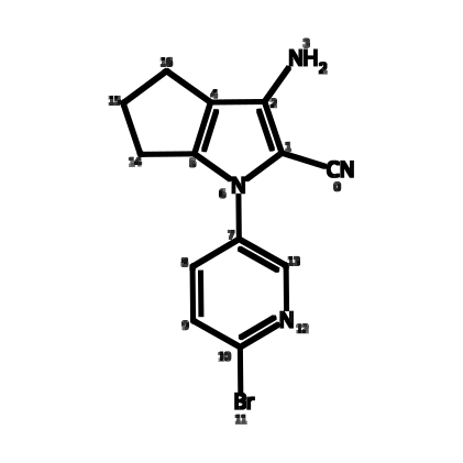 N#Cc1c(N)c2c(n1-c1ccc(Br)nc1)CCC2